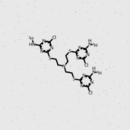 [2H]Nc1nc(Cl)nc(SCCN(CCSc2nc(Cl)nc(N[2H])n2)CCSc2nc(Cl)nc(N[2H])n2)n1